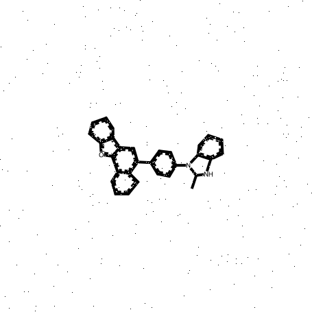 CC1Nc2ccccc2N1c1ccc(-c2cc3c4ccccc4oc3c3ccccc23)cc1